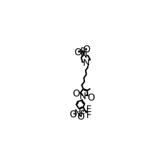 CC1=C(CCCCCCN2CCN(S(C)(=O)=O)CC2)C(=O)N(c2ccc([N+](=O)[O-])c(C(F)(F)F)c2)C1=O